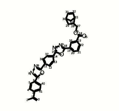 C=C(C)c1ccc(-c2nnc(-c3ccc(-c4nnc(-c5cccc(C(=O)OCC6CC7C=CC6C7)c5)o4)cc3)o2)cc1